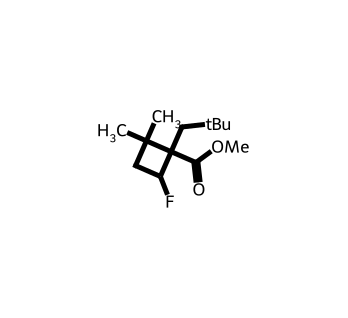 COC(=O)C1(CC(C)(C)C)C(F)CC1(C)C